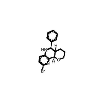 Brc1ccc2c(n1)[C@H]1OCCC[C@H]1[C@H](c1ccccc1)N2